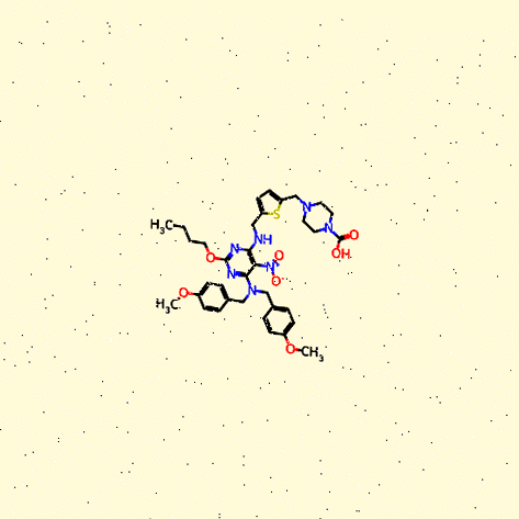 CCCCOc1nc(NCc2ccc(CN3CCN(C(=O)O)CC3)s2)c([N+](=O)[O-])c(N(Cc2ccc(OC)cc2)Cc2ccc(OC)cc2)n1